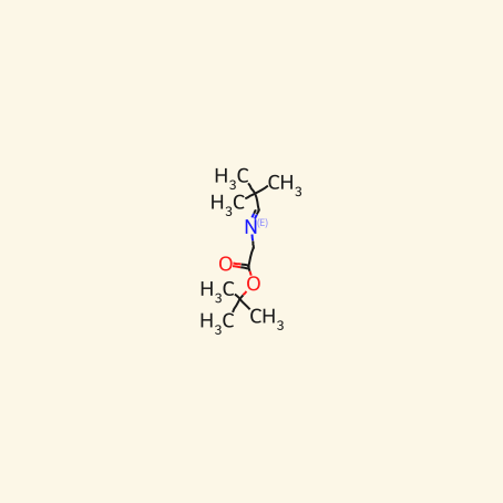 CC(C)(C)/C=N/CC(=O)OC(C)(C)C